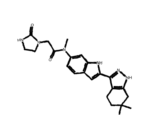 CN(C(=O)CN1CCNC1=O)c1ccc2cc(-c3n[nH]c4c3CCC(C)(C)C4)[nH]c2c1